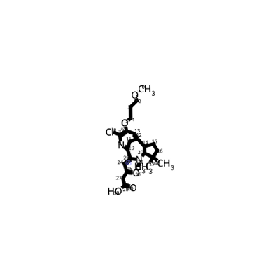 COCCCOC1=C(Cl)N=C2CC(=C1)C1CCC(C)(C)C1N(C)/C2=C\C(=O)CC(=O)O